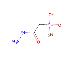 NNC(=O)CP(=O)(O)S